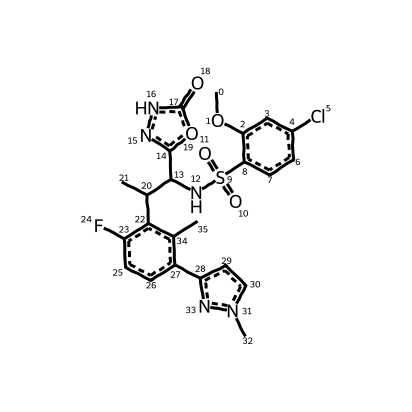 COc1cc(Cl)ccc1S(=O)(=O)NC(c1n[nH]c(=O)o1)C(C)c1c(F)ccc(-c2ccn(C)n2)c1C